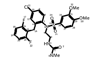 CNC(=O)NCCN(c1ccc(Cl)cc1Cc1c(F)cccc1F)S(=O)(=O)c1ccc(OC)c(OC)c1